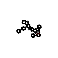 c1ccc(-c2ccc(-c3c4oc5cc(N(c6ccccc6-c6ccccc6)c6cccc7c6oc6ccccc67)ccc5c4cc4oc5ccccc5c34)cc2)cc1